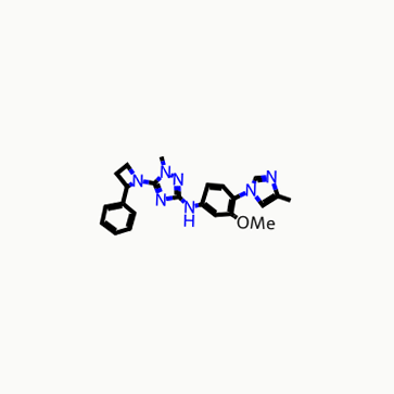 COc1cc(Nc2nc(N3CCC3c3ccccc3)n(C)n2)ccc1-n1cnc(C)c1